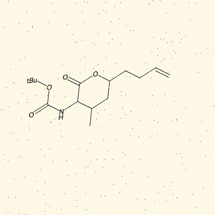 C=CCCC1CC(C)C(NC(=O)OC(C)(C)C)C(=O)O1